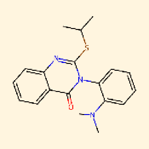 CC(C)Sc1nc2ccccc2c(=O)n1-c1ccccc1N(C)C